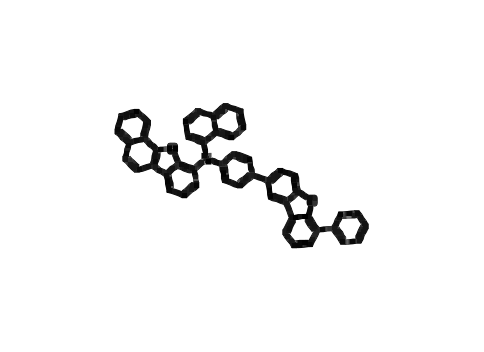 c1ccc(-c2cccc3c2oc2ccc(-c4ccc(N(c5cccc6ccccc56)c5cccc6c5oc5c7ccccc7ccc65)cc4)cc23)cc1